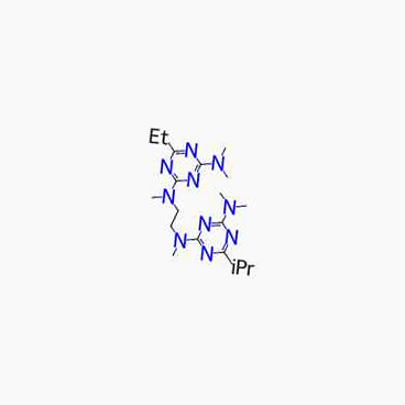 CCc1nc(N(C)C)nc(N(C)CCN(C)c2nc(C(C)C)nc(N(C)C)n2)n1